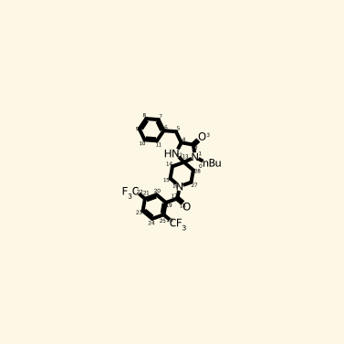 CCCCN1C(=O)C(Cc2ccccc2)NC12CCN(C(=O)c1cc(C(F)(F)F)ccc1C(F)(F)F)CC2